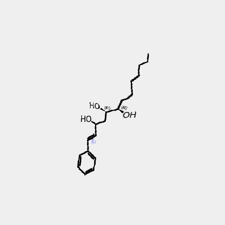 CCCCCCC[C@@H](O)[C@H](O)CC(O)/C=C/c1ccccc1